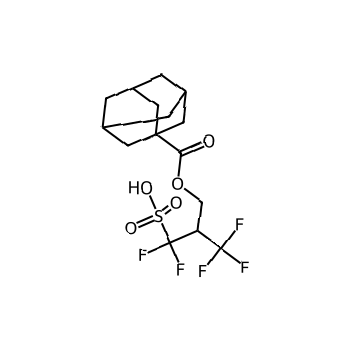 O=C(OCC(C(F)(F)F)C(F)(F)S(=O)(=O)O)C12CC3CC(CC(C3)C1)C2